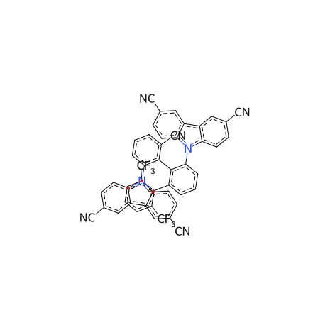 N#Cc1ccc2c(c1)c1cc(C#N)ccc1n2-c1cccc(C#N)c1-c1c(-c2c(C(F)(F)F)cccc2C(F)(F)F)cccc1-n1c2ccc(C#N)cc2c2cc(C#N)ccc21